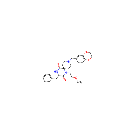 COCCN1C(=O)C(Cc2ccccc2)NC(=O)C12CCN(Cc1ccc3c(c1)OCCO3)CC2